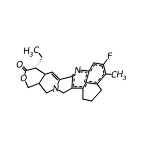 CC[C@H]1C(=O)OCC2CN3Cc4c(nc5cc(F)c(C)c6c5c4CCC6)C3=CC21